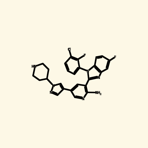 Nc1ncc(-c2cnn(C3CCNCC3)c2)cc1-c1nc2cc(F)ccc2n1-c1cccc(Cl)c1F